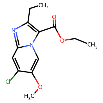 CCOC(=O)c1c(CC)nc2cc(Cl)c(OC)cn12